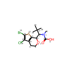 CN(C(=O)O)C(C1OCCc2c1sc(Br)c2Cl)C(C)(C)C